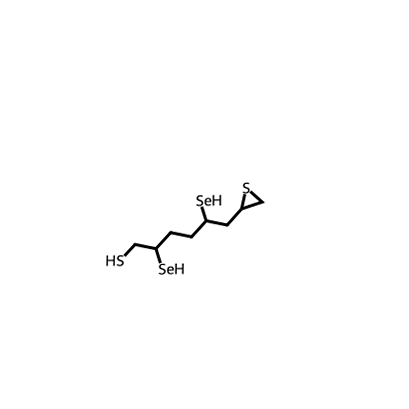 SCC([SeH])CCC([SeH])CC1CS1